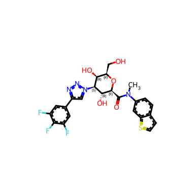 CN(C(=O)[C@@H]1O[C@H](CO)[C@H](O)[C@H](n2cc(-c3cc(F)c(F)c(F)c3)nn2)[C@H]1O)c1ccc2ccsc2c1